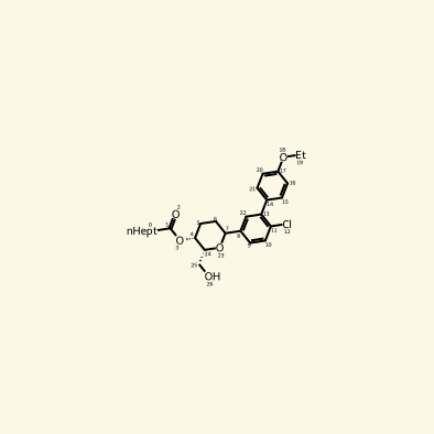 CCCCCCCC(=O)O[C@@H]1CCC(c2ccc(Cl)c(-c3ccc(OCC)cc3)c2)O[C@@H]1CO